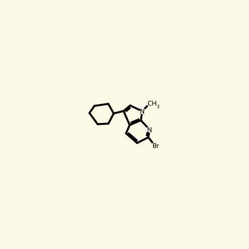 Cn1cc(C2CCCCC2)c2ccc(Br)nc21